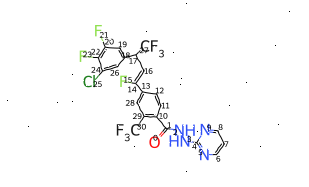 O=C(NNc1ncccn1)c1ccc(C(F)=CC(c2cc(F)c(F)c(Cl)c2)C(F)(F)F)cc1C(F)(F)F